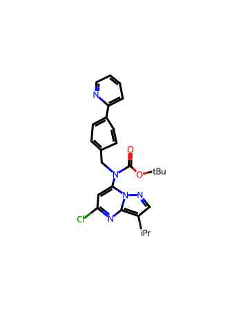 CC(C)c1cnn2c(N(Cc3ccc(-c4ccccn4)cc3)C(=O)OC(C)(C)C)cc(Cl)nc12